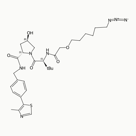 Cc1ncsc1-c1ccc(CNC(=O)[C@@H]2C[C@@H](O)CN2C(=O)[C@@H](NC(=O)COCCCCCCN=[N+]=[N-])C(C)(C)C)cc1